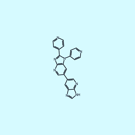 c1cc(-c2nc3ncc(-c4cnc5[nH]cnc5c4)cc3n2-c2ccncc2)ccn1